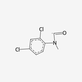 CN([C]=O)c1ccc(Cl)cc1Cl